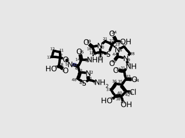 Nc1nc(/C(=N/OC2(C(=O)O)CCC2)C(=O)N[C@@H]2C(=O)N3C[C@@](C(=O)O)(N4CCN(NC(=O)C(=O)c5ccc(O)c(O)c5Cl)C4=O)S[C@H]23)cs1